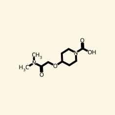 CN(C)C(=O)COC1CCN(C(=O)O)CC1